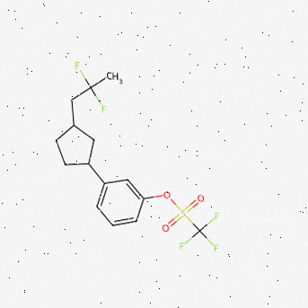 CC(F)(F)CC1CCC(c2cccc(OS(=O)(=O)C(F)(F)F)c2)C1